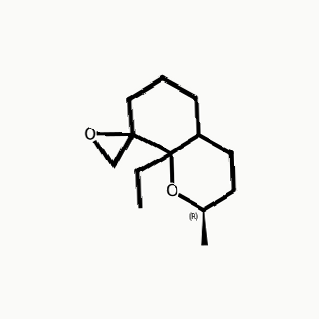 CCC12O[C@H](C)CCC1CCCC21CO1